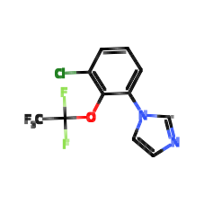 FC(F)(F)C(F)(F)Oc1c(Cl)cccc1-n1[c]ncc1